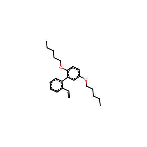 C=Cc1ccccc1-c1cc(OCCCCC)ccc1OCCCCC